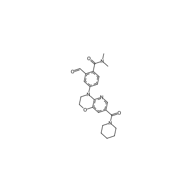 CN(C)C(=O)c1ccc(N2CCOc3cc(C(=O)N4CCCCC4)cnc32)cc1C=O